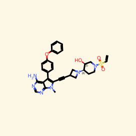 C=CS(=O)(=O)N1CC[C@@H](N2CC(C#Cc3c(-c4ccc(Oc5ccccc5)cc4)c4c(N)ncnc4n3C)C2)[C@@H](O)C1